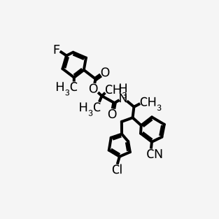 Cc1cc(F)ccc1C(=O)OC(C)(C)C(=O)NC(C)C(Cc1ccc(Cl)cc1)c1cccc(C#N)c1